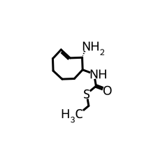 CCSC(=O)NC1CCCC/C=C/[C@@H]1N